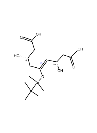 CC(C)(C)[Si](C)(C)O/C(=C\[C@@H](O)CC(=O)O)C[C@H](O)CC(=O)O